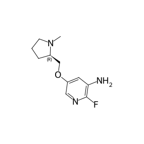 CN1CCC[C@@H]1COc1cnc(F)c(N)c1